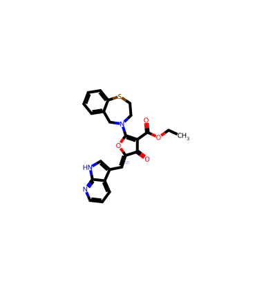 CCOC(=O)C1=C(N2CCSc3ccccc3C2)O/C(=C\c2c[nH]c3ncccc23)C1=O